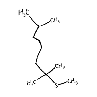 CSC(C)(C)CCCC(C)C